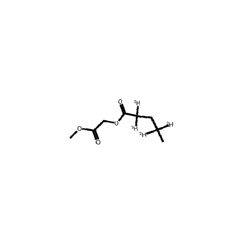 [2H]C([2H])(C)CC([2H])([2H])C(=O)OCC(=O)OC